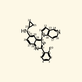 Fc1ccccc1-c1nc(-n2ccc3cnccc32)c2cc(NC3CC3)ccc2n1